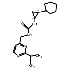 CC(C)c1nccc(CNC(=O)N[C@@H]2C[C@H]2C2CCCCC2)n1